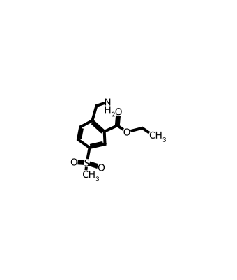 CCOC(=O)c1cc(S(C)(=O)=O)ccc1CN